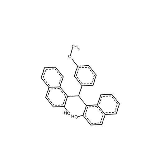 COc1cccc(C(c2c(O)ccc3ccccc23)c2c(O)ccc3ccccc23)c1